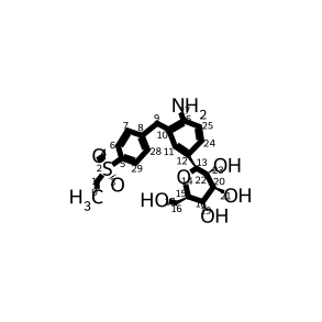 CCS(=O)(=O)c1ccc(Cc2cc([C@@H]3O[C@H](CO)[C@@H](O)[C@H](O)[C@H]3O)ccc2N)cc1